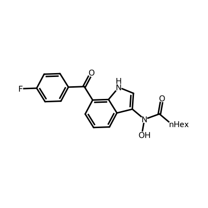 CCCCCCC(=O)N(O)c1c[nH]c2c(C(=O)c3ccc(F)cc3)cccc12